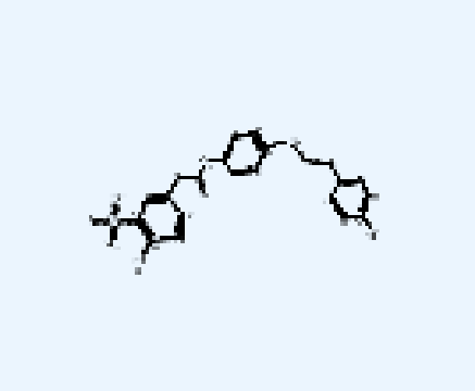 CS(=O)(=O)c1cc(CC(=O)Nc2ccc(SCCc3ccc(F)cc3)cc2)ccc1O